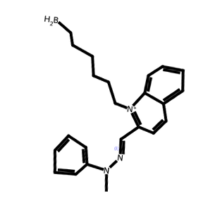 BCCCCCC[n+]1c(/C=N/N(C)c2ccccc2)ccc2ccccc21